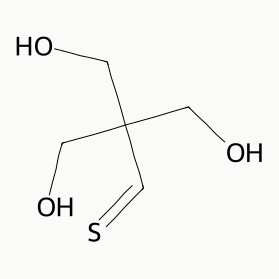 OCC(C=S)(CO)CO